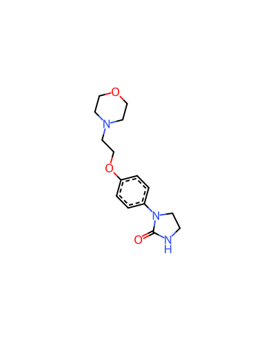 O=C1NCCN1c1ccc(OCCN2CCOCC2)cc1